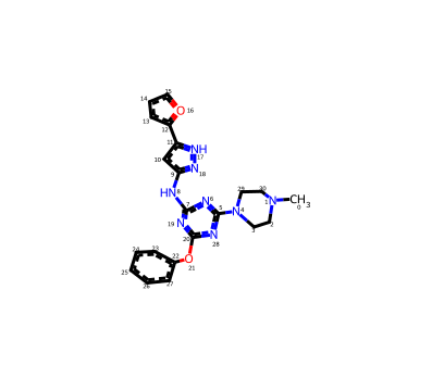 CN1CCN(c2nc(Nc3cc(-c4ccco4)[nH]n3)nc(Oc3ccccc3)n2)CC1